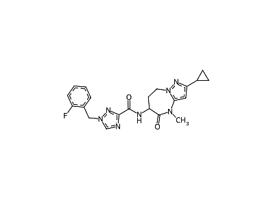 CN1C(=O)C(NC(=O)c2ncn(Cc3ccccc3F)n2)CCn2nc(C3CC3)cc21